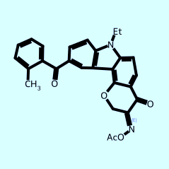 CCn1c2ccc(C(=O)c3ccccc3C)cc2c2c3c(ccc21)C(=O)/C(=N/OC(C)=O)CO3